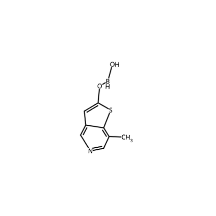 Cc1cncc2cc(OBO)sc12